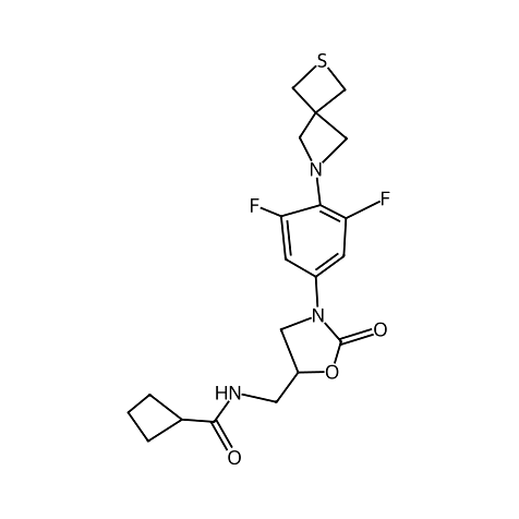 O=C(NCC1CN(c2cc(F)c(N3CC4(CSC4)C3)c(F)c2)C(=O)O1)C1CCC1